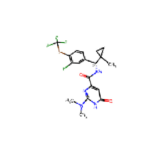 CN(C)c1nc(C(=O)N[C@H](c2ccc(SC(F)(F)F)c(F)c2)C2(C)CC2)cc(=O)[nH]1